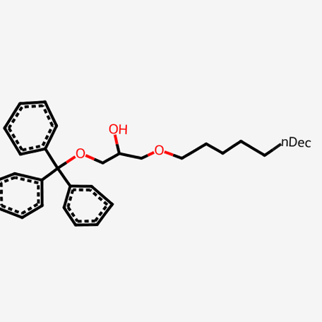 CCCCCCCCCCCCCCCOCC(O)COC(c1ccccc1)(c1ccccc1)c1ccccc1